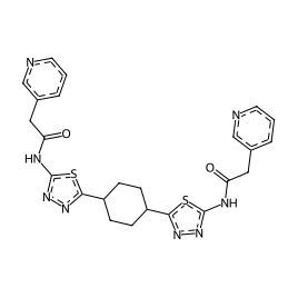 O=C(Cc1cccnc1)Nc1nnc(C2CCC(c3nnc(NC(=O)Cc4cccnc4)s3)CC2)s1